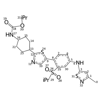 Cc1cc(Nc2ccc(-c3cnc(C4CCC(NC(=O)OC(C)C)CC4)s3)c(S(=O)(=O)C(C)C)c2)sn1